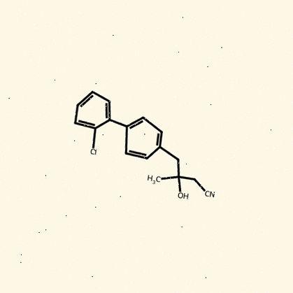 CC(O)(CC#N)Cc1ccc(-c2ccccc2Cl)cc1